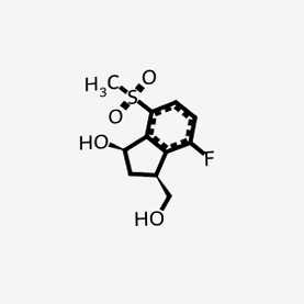 CS(=O)(=O)c1ccc(F)c2c1[C@H](O)C[C@@H]2CO